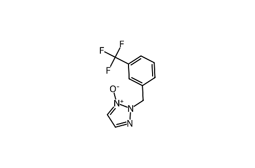 [O-][n+]1ccnn1Cc1cccc(C(F)(F)F)c1